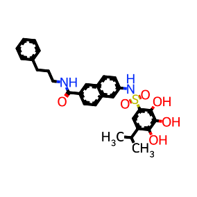 CC(C)c1cc(S(=O)(=O)Nc2ccc3cc(C(=O)NCCCc4ccccc4)ccc3c2)c(O)c(O)c1O